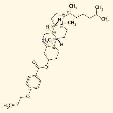 C=CCOc1ccc(C(=O)OC2CC[C@@]3(C)C(=CC[C@H]4[C@@H]5CC[C@H]([C@H](C)CCCC(C)C)[C@@]5(C)CC[C@@H]43)C2)cc1